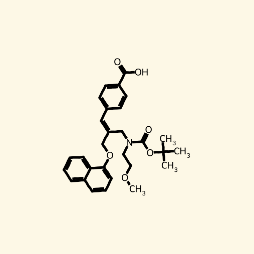 COCCN(C/C(=C\c1ccc(C(=O)O)cc1)COc1cccc2ccccc12)C(=O)OC(C)(C)C